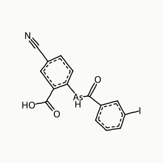 N#Cc1ccc([AsH]C(=O)c2cccc(I)c2)c(C(=O)O)c1